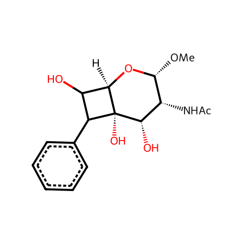 CO[C@H]1O[C@@H]2C(O)C(c3ccccc3)[C@]2(O)[C@@H](O)[C@H]1NC(C)=O